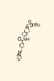 CCCCOC(=O)CN1CCc2cc(NC(=O)c3ccc(C=NN4CCSCC4)cc3)ccc2C1